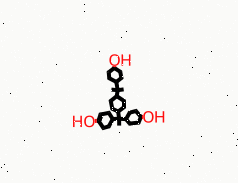 CC(C)(C1CCC(O)CC1)C1CCC(C(C)(C2CC=C(O)CC2)C2CCC(O)CC2)CC1